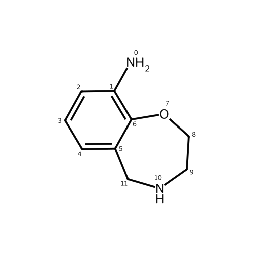 Nc1cccc2c1OCCNC2